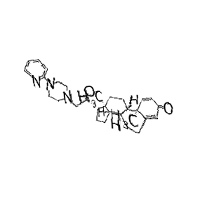 C[C@]12CC[C@H]3[C@@H](CCC4=CC(=O)C=C[C@@]43C)[C@@H]1CC[C@@H]2C(=O)CN1CCN(c2ccccn2)CC1